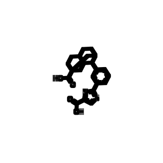 O=C(O)c1csc(-c2cccc(C3C4CCC5CCC(C(=O)O)(C4)CC53)c2)n1